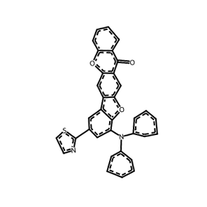 O=c1c2ccccc2oc2cc3c(cc12)oc1c(N(c2ccccc2)c2ccccc2)cc(-c2nccs2)cc13